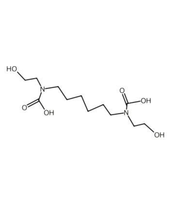 O=C(O)N(CCO)CCCCCCN(CCO)C(=O)O